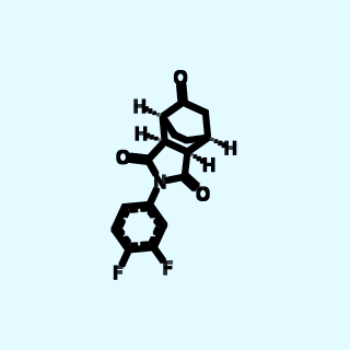 O=C1C[C@@H]2CC[C@H]1[C@@H]1C(=O)N(c3ccc(F)c(F)c3)C(=O)[C@H]21